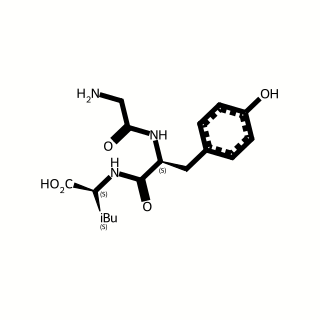 CC[C@H](C)[C@H](NC(=O)[C@H](Cc1ccc(O)cc1)NC(=O)CN)C(=O)O